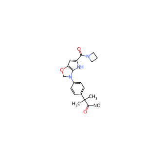 CC(C)(C(=O)N=O)c1ccc(N2COc3cc(C(=O)N4CCC4)[nH]c32)cc1